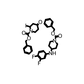 O=C(OCc1ccccc1)N1CCC(Nc2ccc(F)c(F)c2)CC1.O=C1CCN(C(=O)OCc2ccccc2)C(I)C1